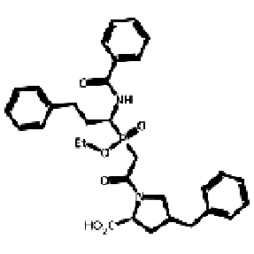 CCOP(=O)(CC(=O)N1CC(Cc2ccccc2)C[C@H]1C(=O)O)[C@@H](CCc1ccccc1)NC(=O)c1ccccc1